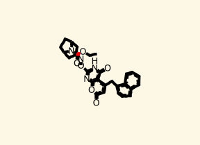 CCOC(=O)N1C2CCC1CC(=NOc1nc3oc(=O)cc(Cc4cccc5ccccc45)c3c(=O)[nH]1)C2